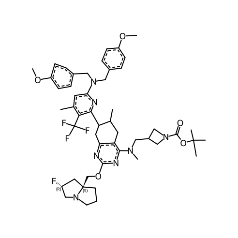 COc1ccc(CN(Cc2ccc(OC)cc2)c2cc(C)c(C(F)(F)F)c(C3Cc4nc(OC[C@@]56CCCN5C[C@H](F)C6)nc(N(C)CC5CN(C(=O)OC(C)(C)C)C5)c4CC3C)n2)cc1